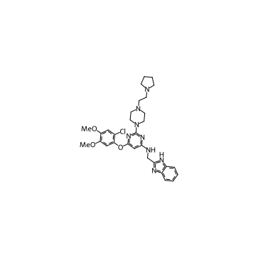 COc1cc(Cl)c(Oc2cc(NCc3nc4ccccc4[nH]3)nc(N3CCN(CCN4CCCC4)CC3)n2)cc1OC